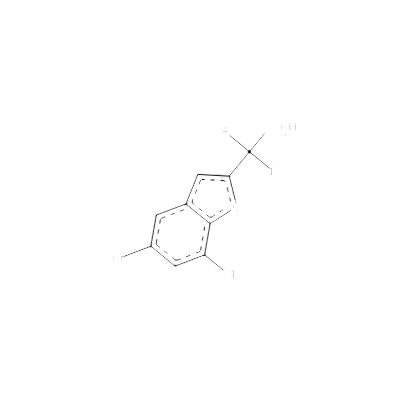 O=C(O)C(F)(F)c1cc2cc(Cl)cc(Cl)c2o1